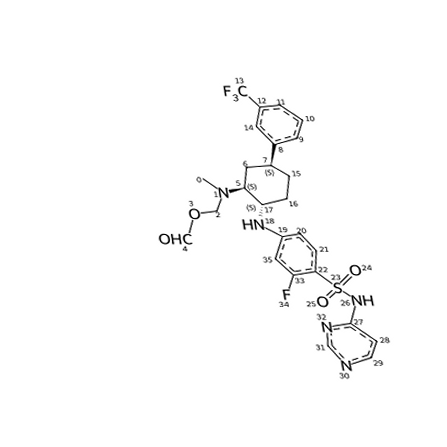 CN(COC=O)[C@H]1C[C@@H](c2cccc(C(F)(F)F)c2)CC[C@@H]1Nc1ccc(S(=O)(=O)Nc2ccncn2)c(F)c1